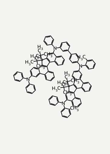 Cc1ccccc1N(c1ccc(-c2cccc(N(c3ccccc3)c3cc4c(c5ccccc35)-c3c(c5ccc(N(c6ccccc6)c6ccccc6)cc5c5ccccc35)C4(C(C)(C)C)C(C)(C)C)c2)cc1)c1ccc2c3c(c4ccccc4c2c1)-c1c(cc(N(c2ccccc2)c2ccccc2C)c2ccccc12)C3(C(C)(C)C)C(C)(C)C